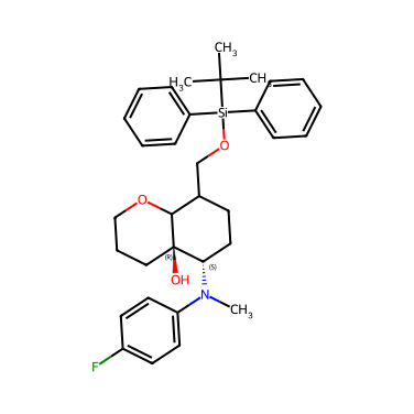 CN(c1ccc(F)cc1)[C@H]1CCC(CO[Si](c2ccccc2)(c2ccccc2)C(C)(C)C)C2OCCC[C@]21O